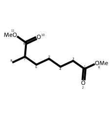 COC(=O)CC[CH]CC(C)C(=O)OC